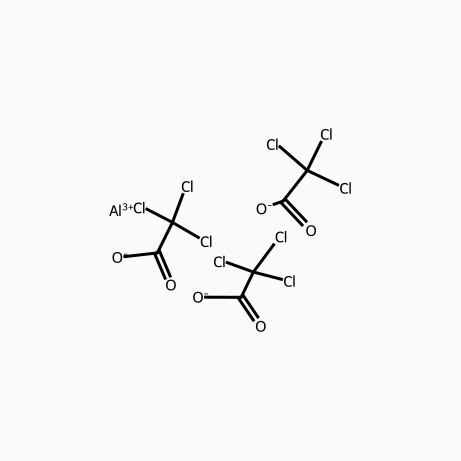 O=C([O-])C(Cl)(Cl)Cl.O=C([O-])C(Cl)(Cl)Cl.O=C([O-])C(Cl)(Cl)Cl.[Al+3]